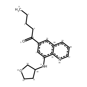 CCCCC(=O)c1cc(NC2CCOC2)c2ncccc2c1